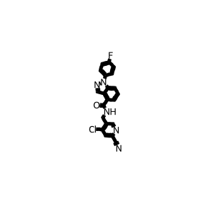 N#Cc1cc(Cl)c(CNC(=O)c2cccc3c2cnn3-c2ccc(F)cc2)cn1